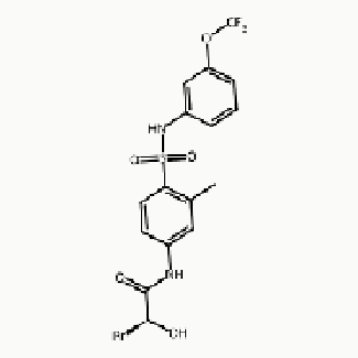 Cc1cc(NC(=O)[C@@H](O)C(C)C)ccc1S(=O)(=O)Nc1cccc(OC(F)(F)F)c1